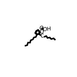 CCCCCCCCCc1c(CCCCCCCC)cccc1OC(=O)O